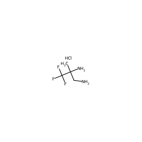 CC(N)(CN)C(F)(F)F.Cl